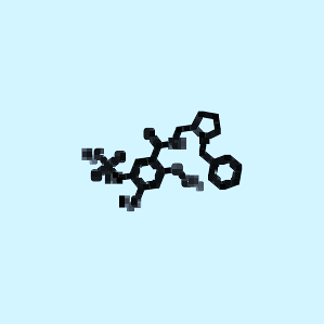 COc1cc(C)c(NS(C)(=O)=O)cc1C(=O)NCC1CCCN1Cc1ccccc1